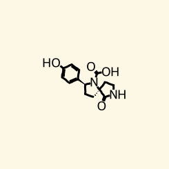 O=C(O)N1[C@H](c2ccc(O)cc2)CC[C@@]12CCNC2=O